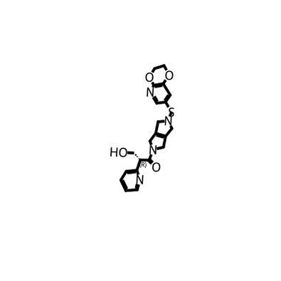 O=C([C@@H](CO)c1ccccn1)N1CC2=C(CN(Sc3cnc4c(c3)OCCO4)C2)C1